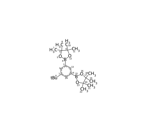 CC(C)(C)c1cc(B2OC(C)(C)C(C)(C)O2)cc(B2OC(C)(C)C(C)(C)O2)c1